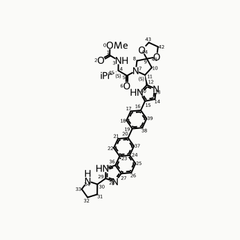 COC(=O)N[C@H](C(=O)N1CC2(C[C@H]1c1ncc(-c3ccc(-c4ccc5c(ccc6nc(C7CCCN7)[nH]c65)c4)cc3)[nH]1)OCCO2)C(C)C